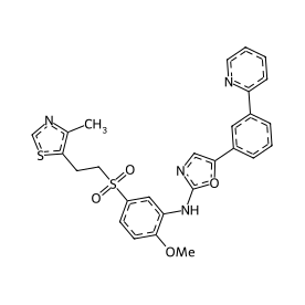 COc1ccc(S(=O)(=O)CCc2scnc2C)cc1Nc1ncc(-c2cccc(-c3ccccn3)c2)o1